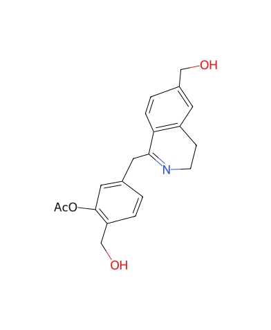 CC(=O)Oc1cc(CC2=NCCc3cc(CO)ccc32)ccc1CO